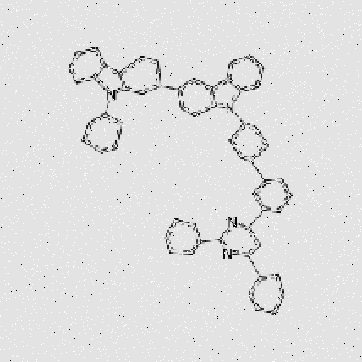 c1ccc(-c2cc(-c3cccc(-c4ccc(-n5c6ccccc6c6cc(-c7ccc8c9ccccc9n(-c9ccccc9)c8c7)ccc65)cc4)c3)nc(-c3ccccc3)n2)cc1